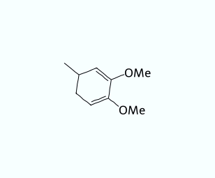 COC1=CCC(C)C=C1OC